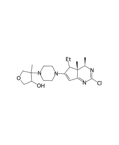 CCC1C(N2CCN(C3(C)COCC3O)CC2)=CC2=NC(Cl)=N[C@H](C)[C@]21C